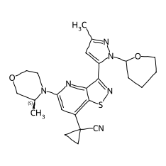 Cc1cc(-c2nsc3c(C4(C#N)CC4)cc(N4CCOC[C@@H]4C)nc23)n(C2CCCCO2)n1